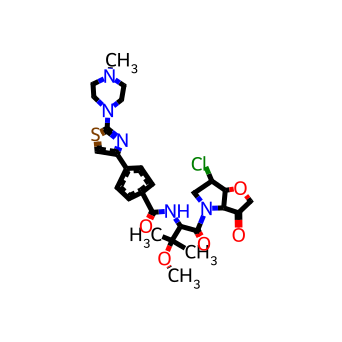 COC(C)(C)C(NC(=O)c1ccc(-c2csc(N3CCN(C)CC3)n2)cc1)C(=O)N1CC(Cl)C2OCC(=O)C21